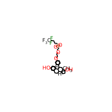 C[C@]12C[C@H](c3ccc(OCCOCCS(=O)(=O)CCCC(F)(F)C(F)(F)F)cc3)[C@@H]3c4ccc(O)cc4CC[C@H]3[C@@H]1CC[C@@H]2O